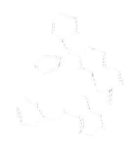 O=c1ccc2cnc(N(c3ccccc3)c3cn[nH]c3)nc2n1Cc1ccccc1CCc1ccccc1